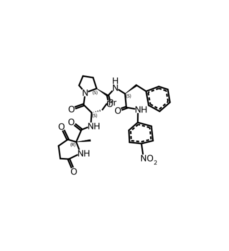 CC(C)C[C@H](NC(=O)[C@]1(C)NC(=O)CCC1=O)C(=O)N1CCC[C@H]1C(=O)N[C@@H](Cc1ccccc1)C(=O)Nc1ccc([N+](=O)[O-])cc1